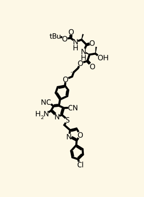 C[C@H](NC(=O)OC(C)(C)C)C(=O)N[C@H](C(=O)OC[CH]COc1ccc(-c2c(C#N)c(N)nc(SCc3coc(-c4ccc(Cl)cc4)n3)c2C#N)cc1)[C@@H](C)O